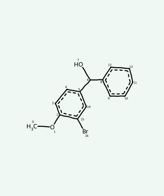 COc1ccc(C(O)c2ccccc2)cc1Br